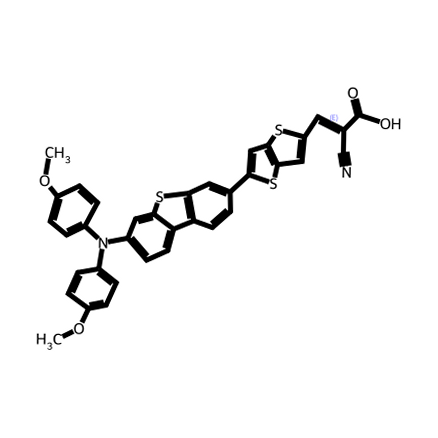 COc1ccc(N(c2ccc(OC)cc2)c2ccc3c(c2)sc2cc(-c4cc5sc(/C=C(\C#N)C(=O)O)cc5s4)ccc23)cc1